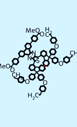 C=Cc1ccc(Oc2ccc(C3(c4ccc(Oc5ccc(C=C)cc5)cc4)c4ccccc4-c4c(-c5sc(-c6cccc7c6-c6ccccc6C7(c6ccc(Oc7ccc(C=C)cc7)cc6)c6ccc(Oc7ccc(C=C)cc7)cc6)c6nc7c8cc(-c9ccc(C(=O)OC)cc9)ccc8c8ccc(-c9ccc(C(=O)OC)cc9)cc8c7nc56)cccc43)cc2)cc1